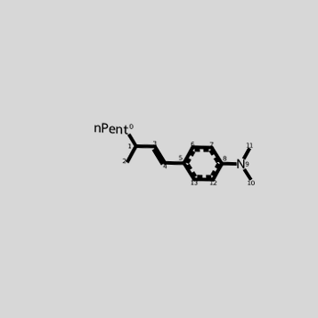 CCCCCC(C)/C=C/c1ccc(N(C)C)cc1